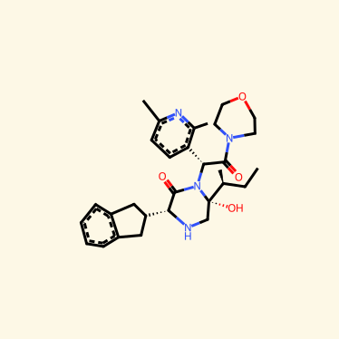 CC[C@H](C)[C@@]1(O)CN[C@H](C2Cc3ccccc3C2)C(=O)N1[C@@H](C(=O)N1CCOCC1)c1ccc(C)nc1C